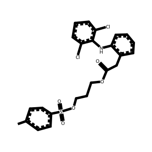 Cc1ccc(S(=O)(=O)OCCCOC(=O)Cc2ccccc2Nc2c(Cl)cccc2Cl)cc1